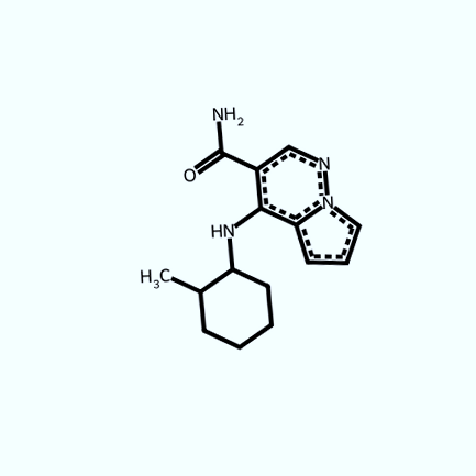 CC1CCCCC1Nc1c(C(N)=O)cnn2cccc12